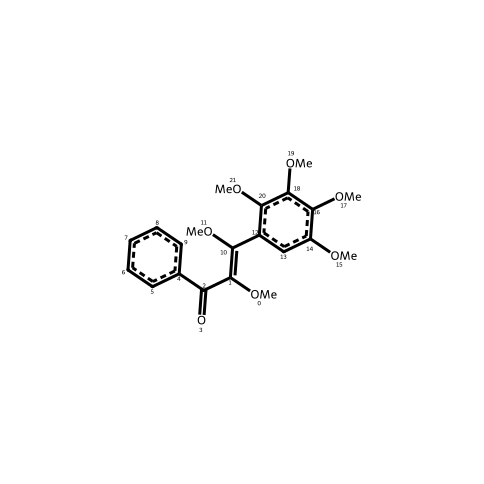 COC(C(=O)c1ccccc1)=C(OC)c1cc(OC)c(OC)c(OC)c1OC